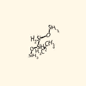 CC.[SiH3]O[SiH2][SiH2]O[SiH3]